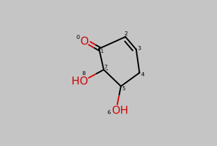 O=C1C=CCC(O)[C]1O